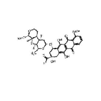 COc1cccc2c1C(=O)c1c(O)c3c(c(O)c1C2=O)C[C@@](O)(C(=O)C(C)C)C[C@@H]3O[C@H]1C[C@@H]2C3CCO[C@H](OC)[C@H]3O[C@@H]2[C@H](C)O1